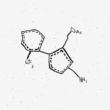 CC(=O)OCc1cc(N)ccc1-c1ccccc1C(F)(F)F